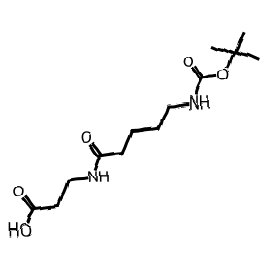 CC(C)(C)OC(=O)NCCCCC(=O)NCCC(=O)O